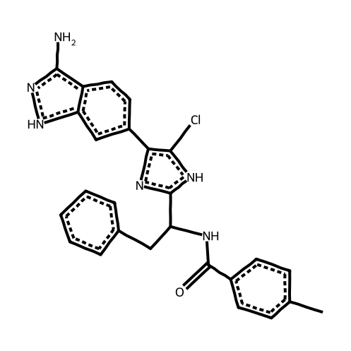 Cc1ccc(C(=O)NC(Cc2ccccc2)c2nc(-c3ccc4c(N)n[nH]c4c3)c(Cl)[nH]2)cc1